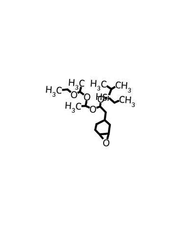 CCOC(C)OC(C)OC(CC1CCC2OC2C1)O[SiH](CC)C(C)C